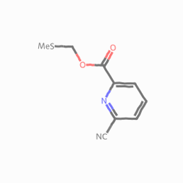 CSCOC(=O)c1cccc(C#N)n1